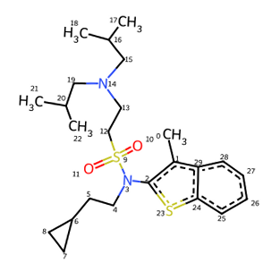 Cc1c(N(CCC2CC2)S(=O)(=O)CCN(CC(C)C)CC(C)C)sc2ccccc12